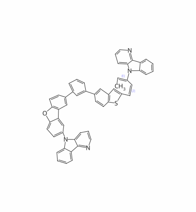 C/C=C(\C=C/c1cc2cc(-c3cccc(-c4ccc5oc6ccc(-n7c8ccccc8c8ncccc87)cc6c5c4)c3)ccc2s1)n1c2ccccc2c2ncccc21